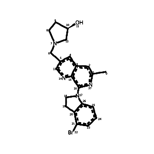 Cc1cc2cc(CN3CC[C@@H](O)C3)cnc2c(N2CCc3c(Br)cccc32)n1